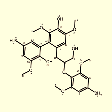 Bc1cc(OC)c(OC(CO)Cc2cc(OC)c(O)c(OC)c2-c2cc(B)cc(OC)c2O)c(OC)c1